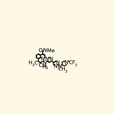 CNC(=O)c1ccnc2c(C(C)[C@H](C)CNc3cc(-c4cnc(N(C)C5CCN(CC(F)(F)F)CC5)nc4)ncn3)cccc12